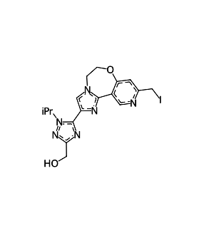 CC(C)n1nc(CO)nc1-c1cn2c(n1)-c1cnc(CI)cc1OCC2